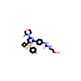 C[C@H]1COCCN1c1cc(C2(S(=O)(=O)c3ccc(F)cc3)CCC2)nc(-c2ccc(NC(=O)NCCCO)cc2)n1